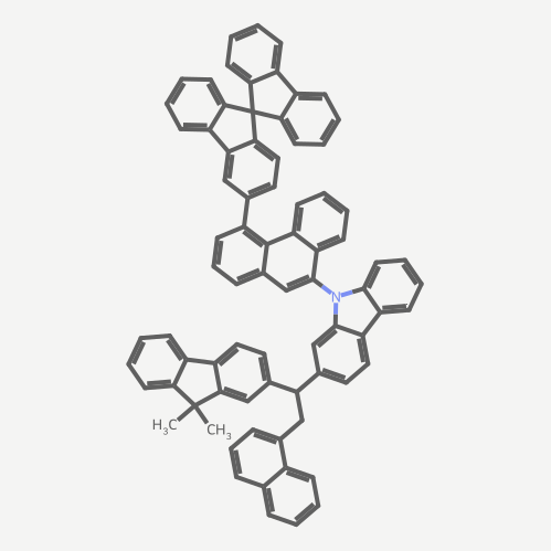 CC1(C)c2ccccc2-c2ccc(C(Cc3cccc4ccccc34)c3ccc4c5ccccc5n(-c5cc6cccc(-c7ccc8c(c7)-c7ccccc7C87c8ccccc8-c8ccccc87)c6c6ccccc56)c4c3)cc21